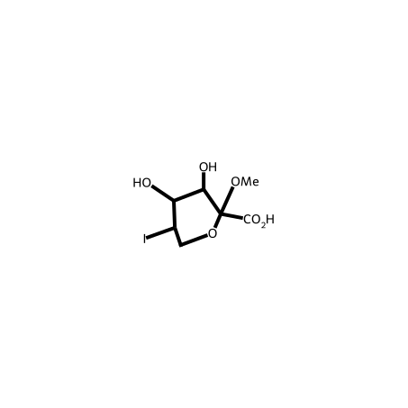 COC1(C(=O)O)OCC(I)C(O)C1O